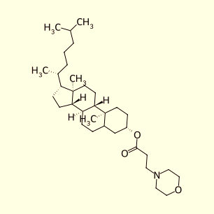 CC(C)CCC[C@@H](C)[C@H]1CC[C@H]2[C@@H]3CCC4C[C@@H](OC(=O)CCN5CCOCC5)CC[C@]4(C)[C@H]3CC[C@]12C